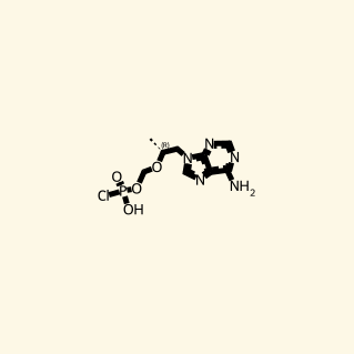 C[C@H](Cn1cnc2c(N)ncnc21)OCOP(=O)(O)Cl